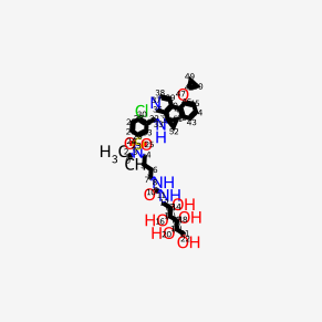 CC(C)N(CCCCNC(=O)NC[C@H](O)[C@@H](O)[C@H](O)[C@H](O)CO)S(=O)(=O)c1ccc(Cl)c(CNC2(c3cnccc3-c3ccccc3OC3CC3)CC2)c1